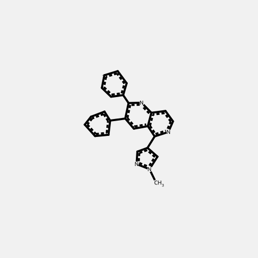 Cn1cc(-c2nccc3nc(-c4cc[c]cc4)c(-c4ccccc4)cc23)cn1